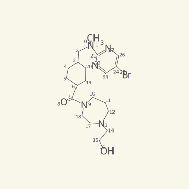 CN(CC1CCC(C(=O)N2CCCN(CCO)CC2)CC1)c1ncc(Br)cn1